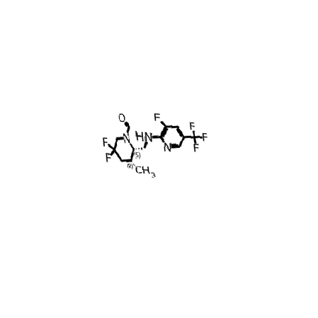 C[C@@H]1CC(F)(F)CN(C=O)[C@@H]1CNc1ncc(C(F)(F)F)cc1F